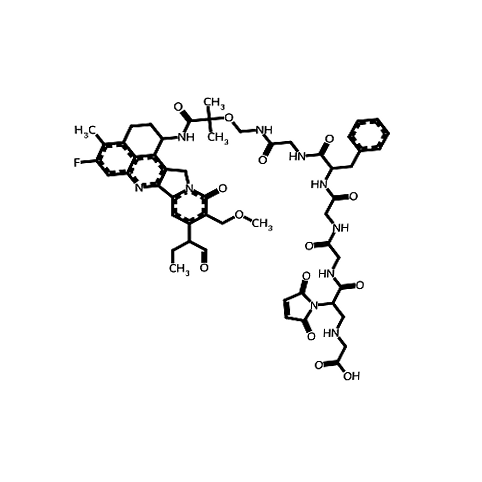 CCC(C=O)c1cc2n(c(=O)c1COC)Cc1c-2nc2cc(F)c(C)c3c2c1C(NC(=O)C(C)(C)OCNC(=O)CNC(=O)C(Cc1ccccc1)NC(=O)CNC(=O)CNC(=O)C(CNCC(=O)O)N1C(=O)C=CC1=O)CC3